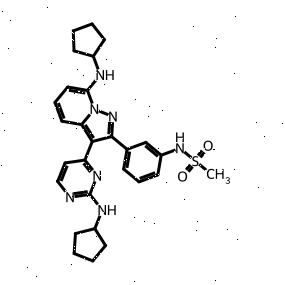 CS(=O)(=O)Nc1cccc(-c2nn3c(NC4CCCC4)cccc3c2-c2ccnc(NC3CCCC3)n2)c1